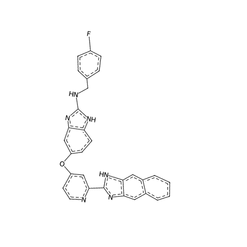 Fc1ccc(CNc2nc3cc(Oc4ccnc(-c5nc6cc7ccccc7cc6[nH]5)c4)ccc3[nH]2)cc1